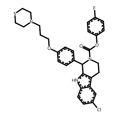 O=C(Oc1ccc(F)cc1)N1CCc2c([nH]c3ccc(Cl)cc23)C1c1ccc(OCCCN2CCSCC2)cc1